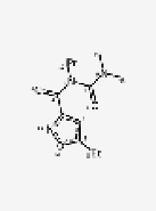 CCc1cc(C(=O)N(C(=O)N(C)C)C(C)C)no1